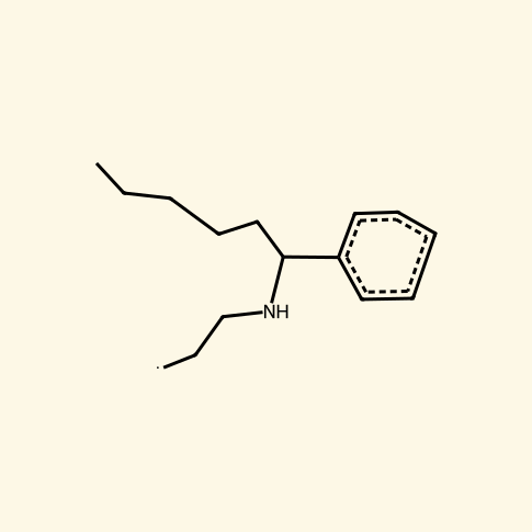 [CH2]CCNC(CCCCC)c1ccccc1